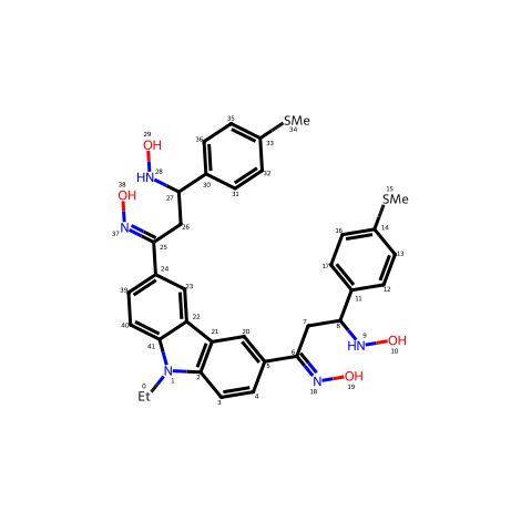 CCn1c2ccc(/C(CC(NO)c3ccc(SC)cc3)=N/O)cc2c2cc(/C(CC(NO)c3ccc(SC)cc3)=N/O)ccc21